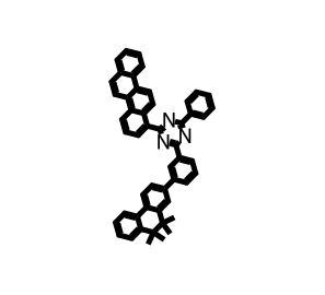 CC1(C)c2ccccc2-c2ccc(-c3cccc(-c4nc(-c5ccccc5)nc(-c5cccc6c5ccc5c7ccccc7ccc65)n4)c3)cc2C1(C)C